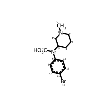 CN1CCCC(N(C(=O)O)c2ccc(Br)cc2)C1